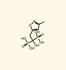 Cc1cc(CC(O)(P(=O)(O)O)P(=O)(O)O)on1